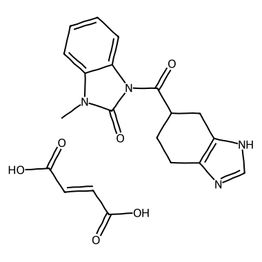 Cn1c(=O)n(C(=O)C2CCc3nc[nH]c3C2)c2ccccc21.O=C(O)C=CC(=O)O